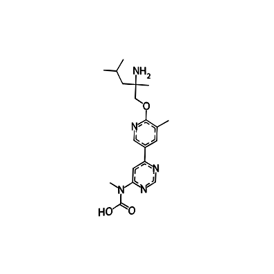 Cc1cc(-c2cc(N(C)C(=O)O)ncn2)cnc1OCC(C)(N)CC(C)C